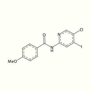 COc1ccc(C(=O)Nc2cc(I)c(Cl)cn2)cc1